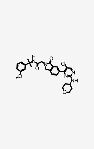 COc1cccc(C(C)(C)NC(=O)CN2Cc3ccc(-c4nc(NC5CCOCC5)ncc4Cl)cc3C2=O)c1